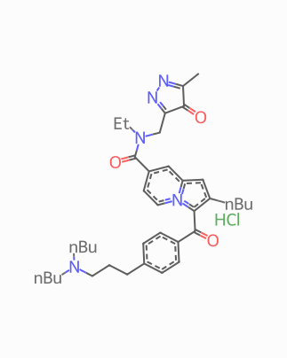 CCCCc1cc2cc(C(=O)N(CC)CC3=NN=C(C)C3=O)ccn2c1C(=O)c1ccc(CCCN(CCCC)CCCC)cc1.Cl